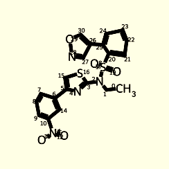 CCN(c1nc(-c2cccc([N+](=O)[O-])c2)cs1)S(=O)(=O)c1ccccc1-c1cnoc1